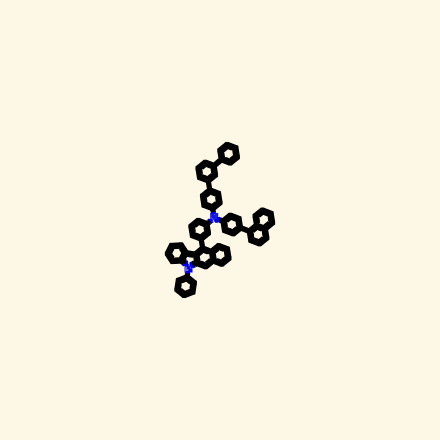 c1ccc(-c2cccc(-c3ccc(N(c4ccc(-c5cccc6ccccc56)cc4)c4cccc(-c5c6ccccc6cc6c5c5ccccc5n6-c5ccccc5)c4)cc3)c2)cc1